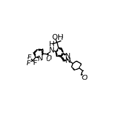 CC(C)(O)c1cc2nn(C3CCC(CC=O)CC3)cc2cc1NC(=O)c1cccc(C(F)(F)F)n1